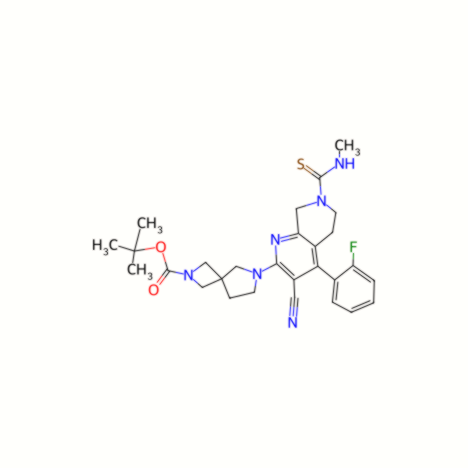 CNC(=S)N1CCc2c(nc(N3CCC4(CN(C(=O)OC(C)(C)C)C4)C3)c(C#N)c2-c2ccccc2F)C1